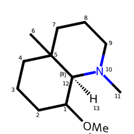 COC1CCCC2(C)CCCN(C)[C@@H]12